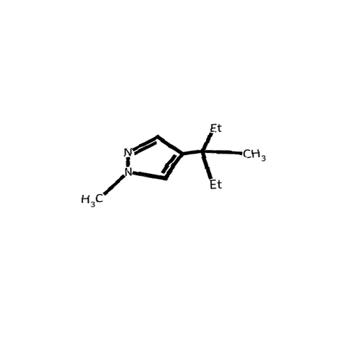 CCC(C)(CC)c1cnn(C)c1